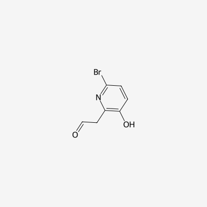 O=CCc1nc(Br)ccc1O